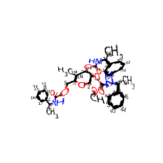 CO[C@@H]1OC(COC(=O)N[C@@H](C)c2ccccc2)[C@@H](C)[C@H](OC(=O)N[C@H](C)c2ccccc2)C1OC(=O)N[C@H](C)c1ccccc1